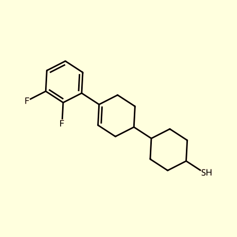 Fc1cccc(C2=CCC(C3CCC(S)CC3)CC2)c1F